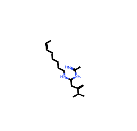 C=C(CC(NCCCCC/C=C\C)NC(C)=N)C(C)C